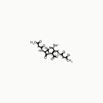 CC(=O)CC(=O)N[C@@H]1C(=O)N2C(C(=O)[O-])=C(COC(=O)CC(C)=O)CS[C@@H]12.[Na+]